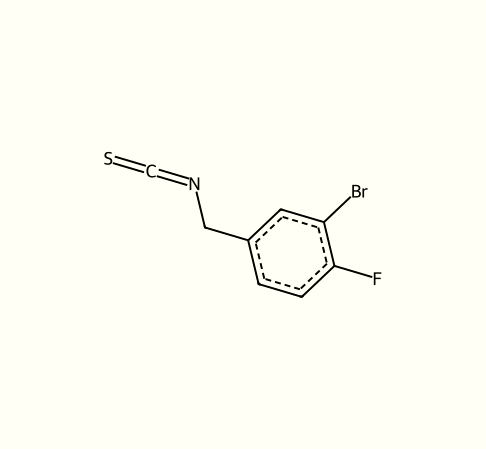 Fc1ccc(CN=C=S)cc1Br